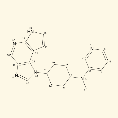 CN(c1cccnc1)C1CCC(n2cnc3cnc4[nH]ccc4c32)CC1